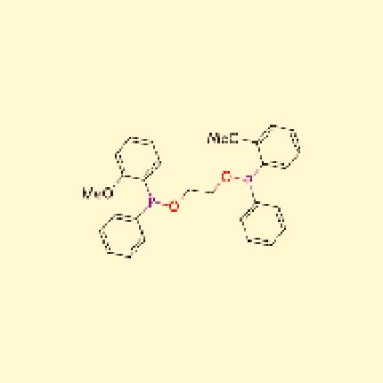 COc1ccccc1P(OCCOP(c1ccccc1)c1ccccc1OC)c1ccccc1